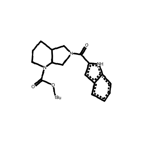 CC(C)(C)OC(=O)N1CCCC2CN(C(=O)c3cc4ccccc4[nH]3)CC21